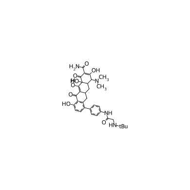 CN(C)C1C(O)=C(C(N)=O)C(=O)C2(O)C(O)=C3C(=O)c4c(O)ccc(-c5ccc(NC(=O)CNC(C)(C)C)cc5)c4CC3CC12